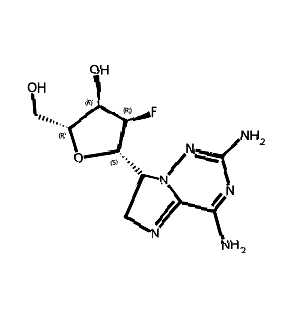 NC1=NN2C(=NCC2[C@@H]2O[C@H](CO)[C@@H](O)[C@H]2F)C(N)=N1